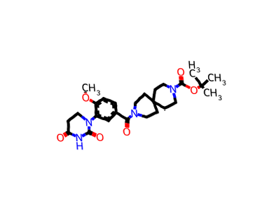 COc1ccc(C(=O)N2CCC3([CH]CN(C(=O)OC(C)(C)C)CC3)CC2)cc1N1CCC(=O)NC1=O